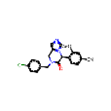 COc1cc(C#N)ccc1C1C(=O)N(Cc2ccc(Cl)cc2)Cc2cncn21